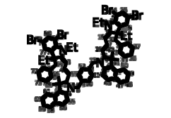 CCN1/C(=C/C=C/C2=[N+](Cc3ccc(C[N+]4=C(/C=C/C=C5/N(CC)c6c(Br)cc(Br)cc6C5(CC)Cc5ccccc5)C(C)(C)c5c4ccc4ccccc54)cc3)c3ccc4ccccc4c3C2(C)C)C(CC)(Cc2ccccc2)c2cc(Br)cc(Br)c21